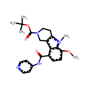 COc1ccc(C(=O)Nc2ccncc2)c2c3c(n(C)c12)CCN(C(=O)OC(C)(C)C)C3